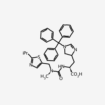 CC(C)c1ncc(CN(C)C(=O)N[C@@H](CC2CN(C(c3ccccc3)(c3ccccc3)c3ccccc3)C=N2)C(=O)O)s1